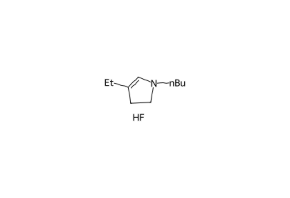 CCCCN1C=C(CC)CC1.F